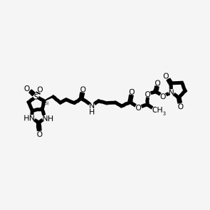 CC(OC(=O)CCCCNC(=O)CCCC[C@H]1C2NC(=O)NC2CS1(=O)=O)OC(=O)ON1C(=O)CCC1=O